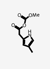 COC(=O)OC(=O)Cc1cc(C)c[nH]1